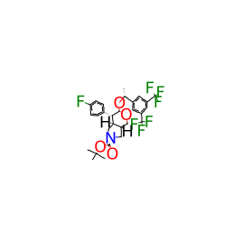 C[C@@H](OC1OC[C@@H]2CN(C(=O)OC(C)(C)C)C[C@H]2[C@@H]1c1ccc(F)cc1)c1cc(C(F)(F)F)cc(C(F)(F)F)c1